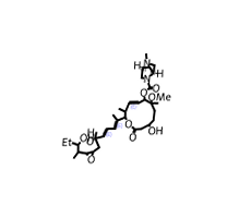 CCC(O)C(C)C1OC1CC(C)(O)/C=C/C=C(\C)C1OC(=O)CC(O)CCC(C)(OC)C(OC(=O)N2C[C@@H]3C[C@H]2CN3C)/C=C/C1C